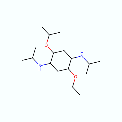 CCOC1CC(NC(C)C)C(OC(C)C)CC1NC(C)C